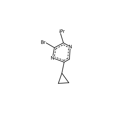 CC(C)c1ncc(C2CC2)nc1Br